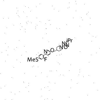 CSc1ccc(-c2ccc(OCC3CCN(c4nc(C(C)C)no4)CC3)cn2)c(F)c1